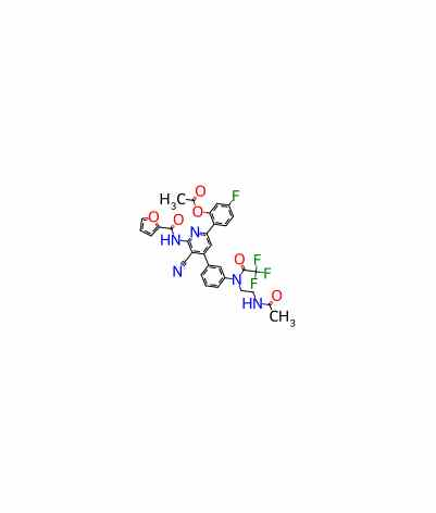 CC(=O)NCCN(C(=O)C(F)(F)F)c1cccc(-c2cc(-c3ccc(F)cc3OC(C)=O)nc(NC(=O)c3ccco3)c2C#N)c1